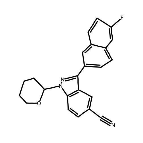 N#Cc1ccc2c(c1)c(-c1ccc3cc(F)ccc3c1)nn2C1CCCCO1